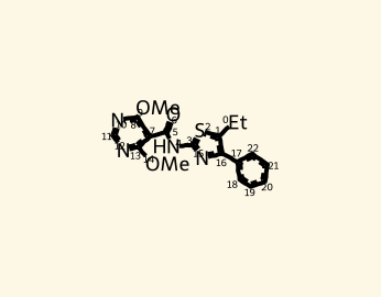 CCc1sc(NC(=O)c2c(OC)ncnc2OC)nc1-c1ccccc1